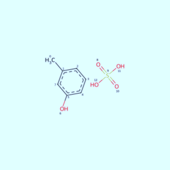 Cc1cccc(O)c1.O=S(=O)(O)O